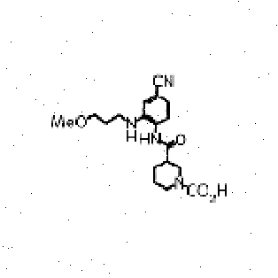 COCCCNc1cc(C#N)ccc1NC(=O)C1CCCN(C(=O)O)C1